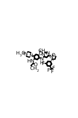 C=CC(=O)Nc1cc(Nc2cc(N3OCC[C@@H]3c3cc(F)cc(C(F)(F)F)c3)ncn2)c(OC)cc1N1CCN(C)CC1